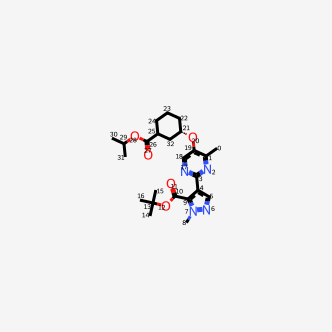 Cc1nc(-c2cnn(C)c2C(=O)OC(C)(C)C)ncc1O[C@H]1CCCC(C(=O)OC(C)C)C1